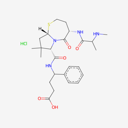 CNC(C)C(=O)N[C@H]1CCS[C@H]2CC(C)(C)[C@@H](C(=O)NC(CCC(=O)O)c3ccccc3)N2C1=O.Cl